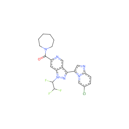 O=C(c1cc2c(cn1)c(-c1cnc3ccc(Cl)cn13)nn2C(F)C(F)F)N1CCCCCC1